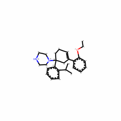 CCOc1ccccc1C1=CCCC(c2ccccc2C(C)C)(N2CCNCC2)C1